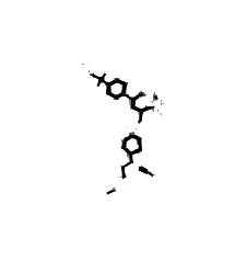 CC#C[C@@H](CC(=O)OCC)c1ccc(OCc2cc(-c3ccc(C(C)(C)C#N)cc3)cn3ncnc23)cc1